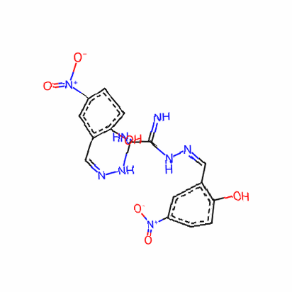 N=C(N/N=C\c1cc([N+](=O)[O-])ccc1O)C(=N)N/N=C\c1cc([N+](=O)[O-])ccc1O